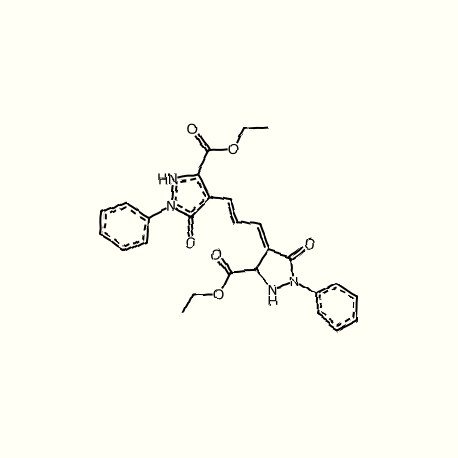 CCOC(=O)c1[nH]n(-c2ccccc2)c(=O)c1C=CC=C1C(=O)N(c2ccccc2)NC1C(=O)OCC